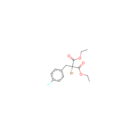 CCOC(=O)C(Br)(Cc1ccc(F)cc1)C(=O)OCC